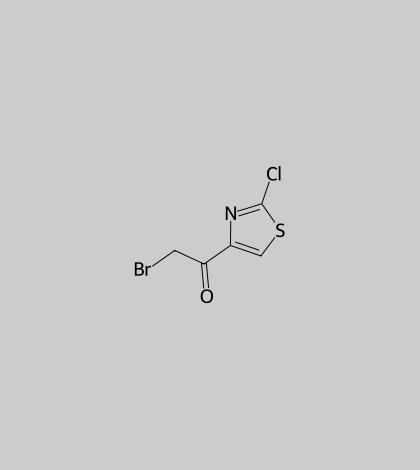 O=C(CBr)c1csc(Cl)n1